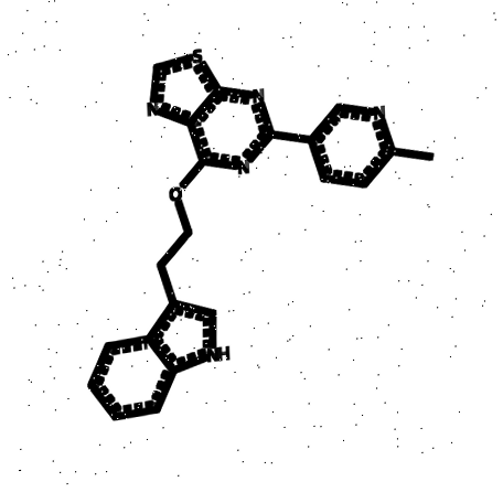 Cc1ccc(-c2nc(OCCc3c[nH]c4ccccc34)c3ncsc3n2)cn1